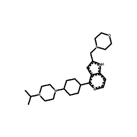 CC(C)N1CCN(C2CCC(c3nccc4[nH]c(CN5CCOCC5)cc34)CC2)CC1